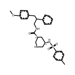 COc1ccc(CC(CNC(=O)[C@@H]2CNC[C@H](NS(=O)(=O)c3ccc(C)cc3)C2)c2ccccc2)cc1